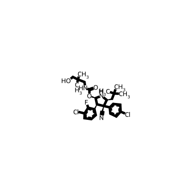 CC(C)(C)C[C@@H]1N[C@H](OC(=O)NCC(C)(C)CO)[C@H](c2cccc(Cl)c2F)[C@@]1(C#N)c1ccc(Cl)cc1